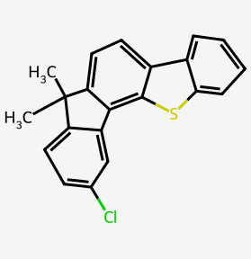 CC1(C)c2ccc(Cl)cc2-c2c1ccc1c2sc2ccccc21